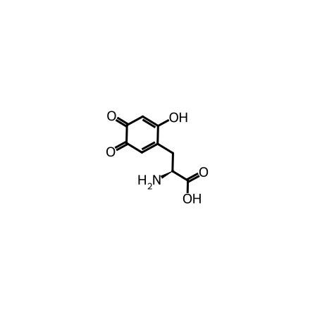 N[C@@H](CC1=CC(=O)C(=O)C=C1O)C(=O)O